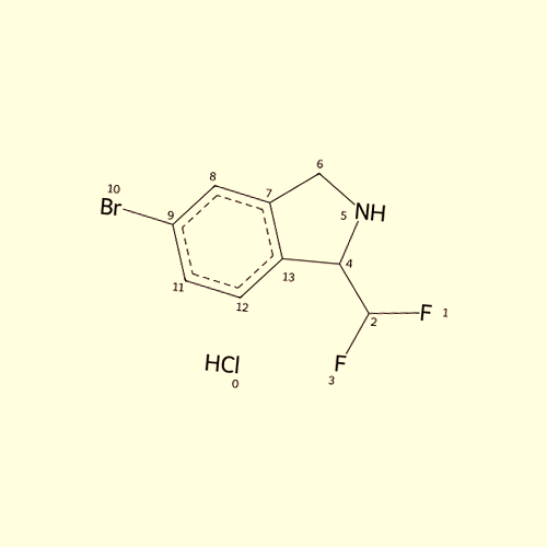 Cl.FC(F)C1NCc2cc(Br)ccc21